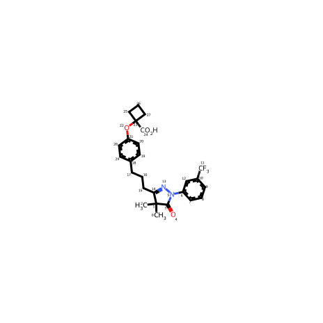 CC1(C)C(=O)N(c2cccc(C(F)(F)F)c2)N=C1CCCc1ccc(OC2(C(=O)O)CCC2)cc1